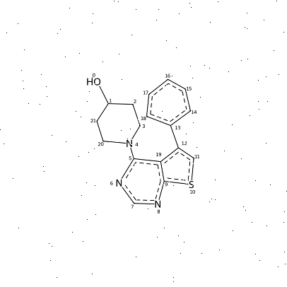 OC1CCN(c2ncnc3scc(-c4ccccc4)c23)CC1